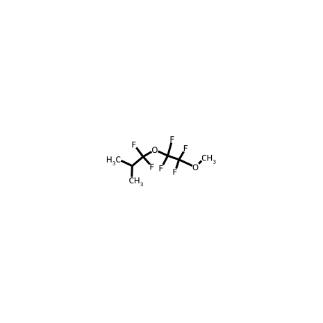 COC(F)(F)C(F)(F)OC(F)(F)C(C)C